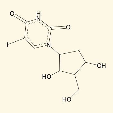 O=c1[nH]c(=O)n(C2CC(O)C(CO)C2O)cc1I